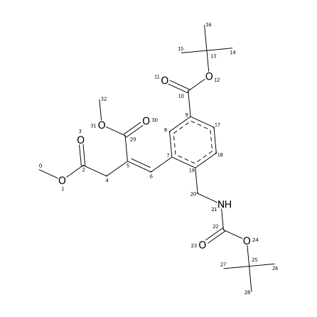 COC(=O)CC(=Cc1cc(C(=O)OC(C)(C)C)ccc1CNC(=O)OC(C)(C)C)C(=O)OC